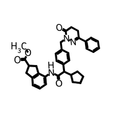 COC(=O)C1Cc2cccc(NC(=O)C(c3ccc(CN4N=C(c5ccccc5)CCC4=O)cc3)C3CCCC3)c2C1